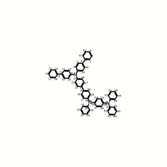 c1ccc(-c2ccc(N(c3ccc(-c4ccccc4)cc3)c3ccc(-c4ccc(N(c5ccccc5)c5ccc(N(c6ccccc6)c6ccccc6)cc5)cc4)cc3)cc2)cc1